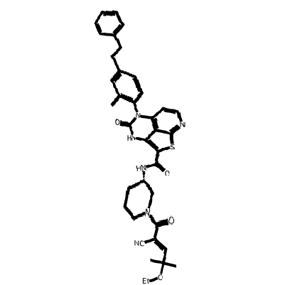 CCOC(C)(C)/C=C(\C#N)C(=O)N1CCC[C@@H](NC(=O)c2sc3nccc4c3c2NC(=O)N4c2ccc(CCc3ccccc3)cc2C)C1